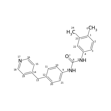 Cc1ccc(NC(=O)Nc2ccc(Cc3ccncc3)cc2)cc1C